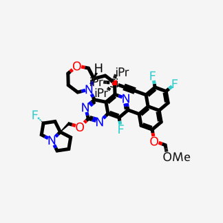 COCOc1cc(-c2nc3c4c(nc(OC[C@@]56CCCN5C[C@H](F)C6)nc4c2F)N2CCCOC[C@@H]2CC3)c2c(C#C[Si](C(C)C)(C(C)C)C(C)C)c(F)c(F)cc2c1